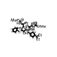 CCN(CC)c1ccc(CN(C[C@H](O)[C@H](Cc2ccccc2)NC(=O)[C@@H](NC(=O)OC)C(C)C)NC(=O)[C@@H](NC(=O)OC)C(C)(C)C)cc1